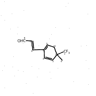 CC1(C(F)(F)F)C=CC(C=CC=O)=CC1